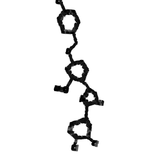 COc1cc(OCc2ccc(Cl)cc2)ccc1-c1c[nH]c(-c2ccc(Cl)c(Cl)c2)n1